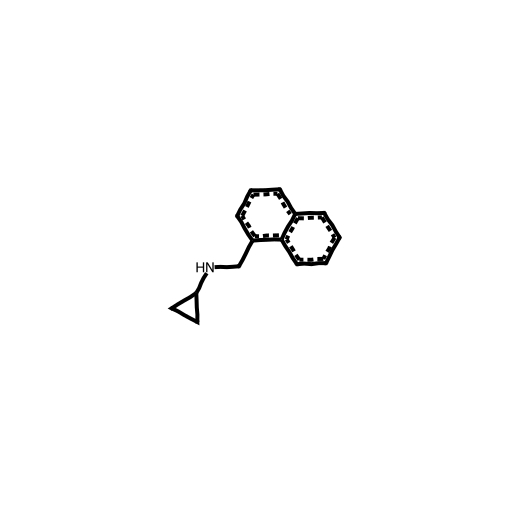 c1ccc2c(CNC3CC3)cccc2c1